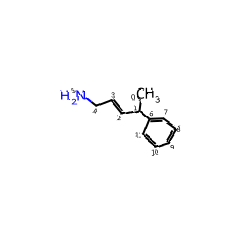 CC(/C=C/CN)c1ccccc1